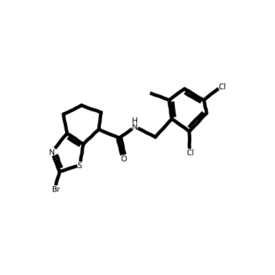 Cc1cc(Cl)cc(Cl)c1CNC(=O)C1CCCc2nc(Br)sc21